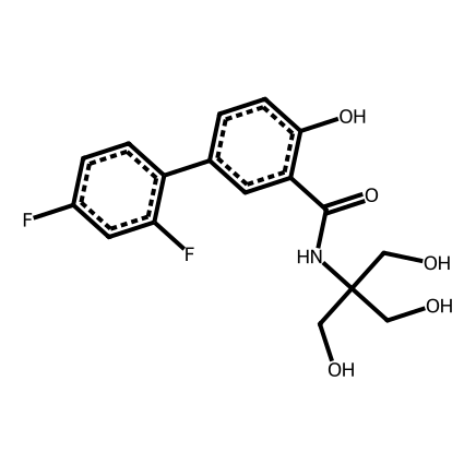 O=C(NC(CO)(CO)CO)c1cc(-c2ccc(F)cc2F)ccc1O